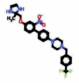 CC1(COc2ccc(-c3ccc(N4CCN(Cc5ccc(C(F)(F)F)cc5)CC4)cc3)c([N+](=O)[O-])c2)NC=CN1